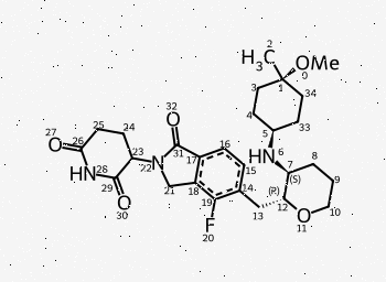 CO[C@]1(C)CC[C@H](N[C@H]2CCCO[C@@H]2Cc2ccc3c(c2F)CN(C2CCC(=O)NC2=O)C3=O)CC1